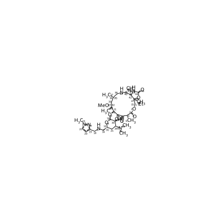 CC[C@@H]1OC(=O)C(C)C(=O)[C@H](C)[C@@H](O[C@@H]2O[C@H](CNCc3ccn(C)n3)CC(N(C)C)C2O)[C@](C)(OC)C[C@@H](C)CN[C@H](C)[C@H]2NC(=O)O[C@]12C